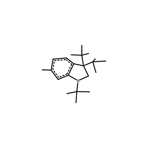 Cc1ccc2c(c1)N(C(C)(C)C)CC2(C(C)(C)C)C(C)(C)C